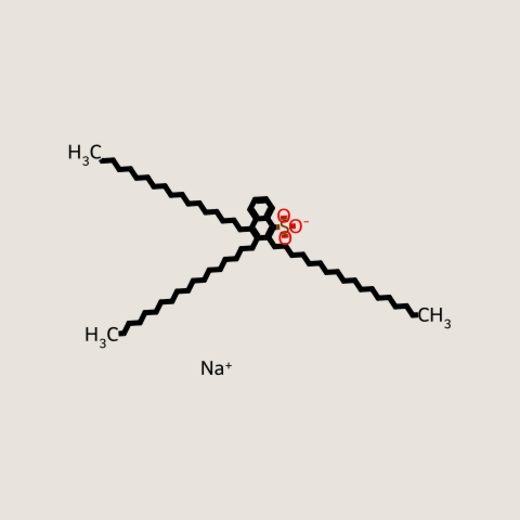 CCCCCCCCCCCCCCCCCCc1c(CCCCCCCCCCCCCCCCCC)c(S(=O)(=O)[O-])c2ccccc2c1CCCCCCCCCCCCCCCCCC.[Na+]